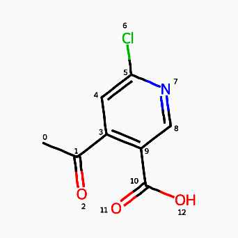 CC(=O)c1cc(Cl)ncc1C(=O)O